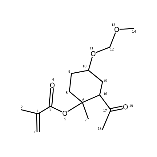 C=C(C)C(=O)OC1(C)CCC(OCOC)CC1C(C)=O